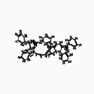 CC12c3ccc4c(c3)c3c5c6ccccc6n(-c6ccccc6)c5ccc3n4-c3ccccc3-c3nc(-c4ccccc4)c(c1n3)-c1ccccc12